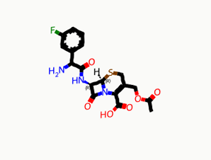 CC(=O)OCC1=C(C(=O)O)N2C(=O)[C@@H](NC(=O)C(N)c3cccc(F)c3)[C@H]2SC1